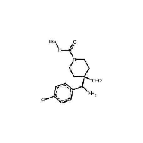 CC(C)(C)OC(=O)N1CCC(C=O)(C(N)c2ccc(Cl)cc2)CC1